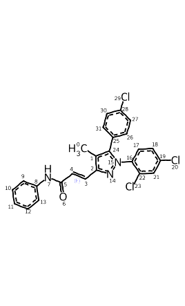 Cc1c(/C=C/C(=O)Nc2ccccc2)nn(-c2ccc(Cl)cc2Cl)c1-c1ccc(Cl)cc1